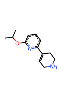 CC(C)Oc1cccc(C2=CCNCC2)n1